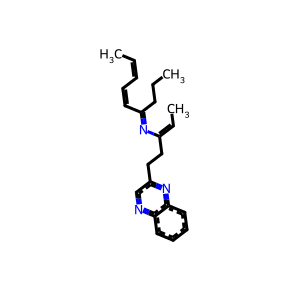 C\C=C/C=C\C(CCC)=N\C(=C/C)CCc1cnc2ccccc2n1